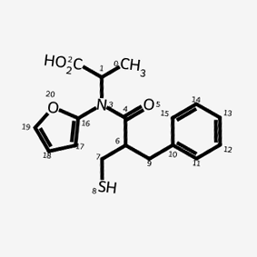 CC(C(=O)O)N(C(=O)C(CS)Cc1ccccc1)c1ccco1